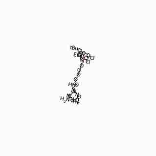 CCOc1cc(C(C)(C)C)ccc1C1=C[C@@](C)(c2ccc(Cl)cc2)[C@@H](c2ccc(Cl)cc2)N1C(=O)N1CCN(CCOCCOCCOCCOCCC(=O)NCCn2cc3c(n2)CN(C)C(=O)c2ccc(F)cc2[C@H]2CCCN2c2cc-3cnc2N)CC1